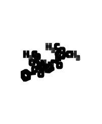 COC(=O)c1nc2n(CC(=O)N3CC(C)OC(C)C3)ccn2c(=O)c1OCc1ccccc1